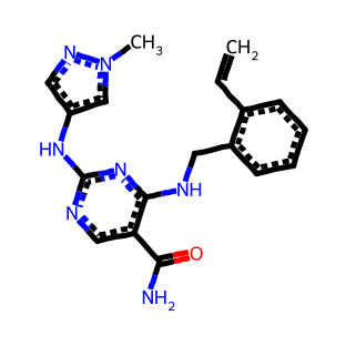 C=Cc1ccccc1CNc1nc(Nc2cnn(C)c2)ncc1C(N)=O